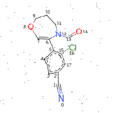 N#Cc1ccc(C2=COCCCN2C=O)c(Cl)c1